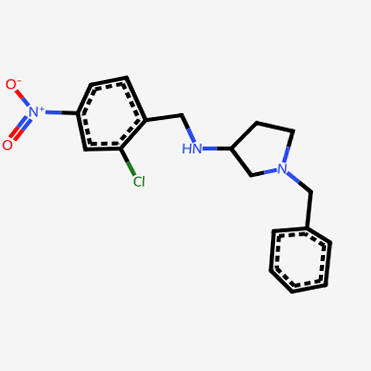 O=[N+]([O-])c1ccc(CNC2CCN(Cc3ccccc3)C2)c(Cl)c1